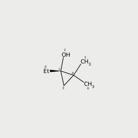 CC[C@]1(O)CC1(C)C